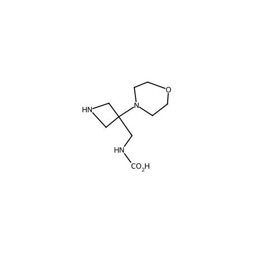 O=C(O)NCC1(N2CCOCC2)CNC1